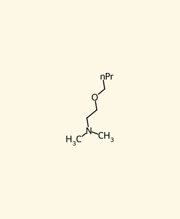 [CH2]CCCOCCN(C)C